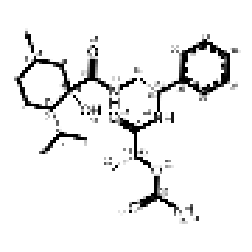 CC(C)[C@@H]1CC[C@@H](C)C[C@@]1(O)C(=O)NC[C@@H](NC(=O)[C@@H](C)OC(N)=O)c1ccccc1